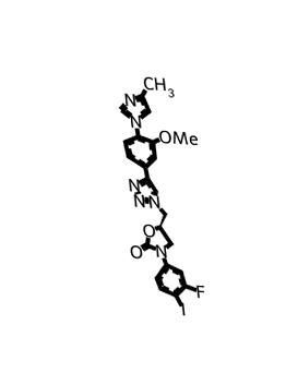 COc1cc(-c2cn(C[C@H]3CN(c4ccc(I)c(F)c4)C(=O)O3)nn2)ccc1-n1cnc(C)c1